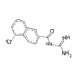 N=C(N)NC(=O)c1ccc2c(Cl)cccc2c1